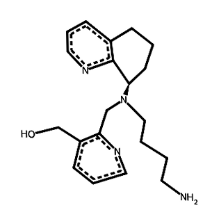 NCCCCN(Cc1ncccc1CO)[C@@H]1CCCc2cccnc21